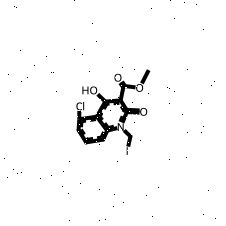 COC(=O)c1c(O)c2c(Cl)cccc2n(CI)c1=O